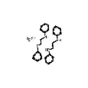 [Cl-].[Cl-].[Ni+2].c1ccc(PCCPc2ccccc2)cc1.c1ccc(PCCPc2ccccc2)cc1